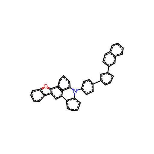 c1ccc(N(c2ccc(-c3cccc(-c4ccc5ccccc5c4)c3)cc2)c2ccccc2-c2ccc3oc4ccccc4c3c2)cc1